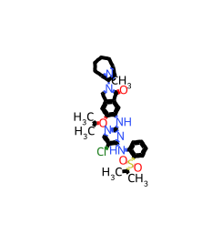 CC(C)Oc1cc2c(cc1Nc1ncc(Cl)c(Nc3ccccc3S(=O)(=O)C(C)C)n1)C(=O)N([C@@H]1CC3CCCCC1N3C)C2